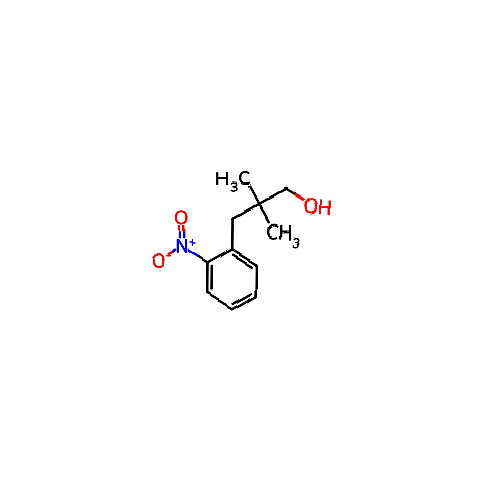 CC(C)(CO)Cc1ccccc1[N+](=O)[O-]